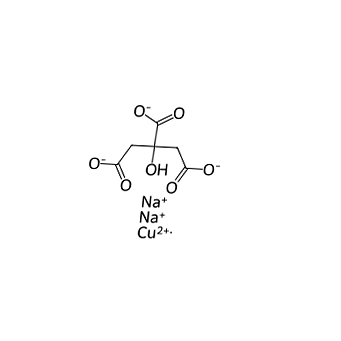 O=C([O-])CC(O)(CC(=O)[O-])C(=O)[O-].[Cu+2].[Na+].[Na+]